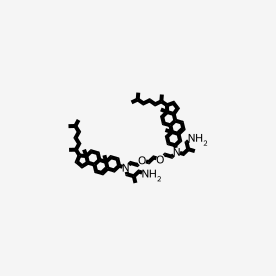 CC(C)CCCC(C)C1CCC2C3CC=C4CC(N(CCOCCOCCN(CC(C)CN)C5CCC6(C)C(=CCC7C6CCC6(C)C(C(C)CCCC(C)C)CCC76)C5)CC(C)CN)CCC4(C)C3CCC12C